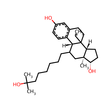 C=CC12CCc3cc(O)ccc3[C@H]1C(CCCCCCC(C)(C)O)C[C@]1(C)[C@@H](O)CC[C@@H]21